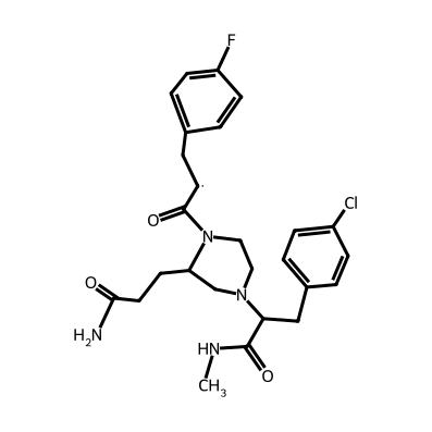 CNC(=O)C(Cc1ccc(Cl)cc1)N1CCN(C(=O)[CH]Cc2ccc(F)cc2)C(CCC(N)=O)C1